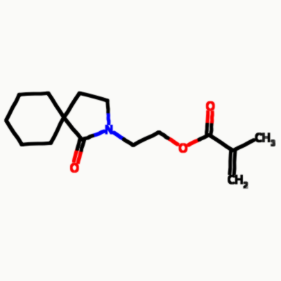 C=C(C)C(=O)OCCN1CCC2(CCCCC2)C1=O